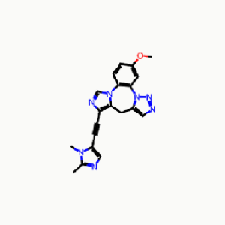 COc1ccc2c(c1)-n1nncc1Cc1c(C#Cc3cnc(C)n3C)ncn1-2